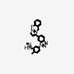 C=NNc1cc(-n2nnc3ccc(-c4ccnn4Cc4ccccc4F)cc32)ccc1C